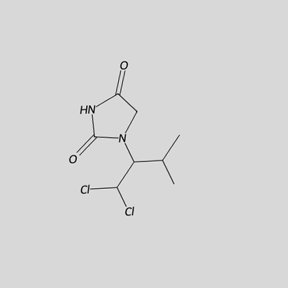 CC(C)C(C(Cl)Cl)N1CC(=O)NC1=O